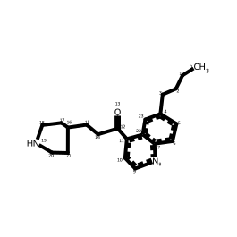 CCCCc1ccc2nccc(C(=O)CCC3CCNCC3)c2c1